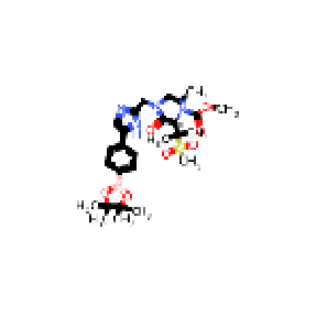 CCCN(Cc1ncc(-c2ccc(B3OC(C)(C)C(C)(C)O3)cc2)[nH]1)C(=O)[C@@H](NC(=O)OC)C(C)(C)S(C)(=O)=O